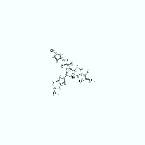 CN1CCc2nc(C(=O)N[C@H]3CC(C(=O)N(C)C)CC[C@@H]3NC(=O)C(=O)Nc3ncc(Cl)s3)sc2C1